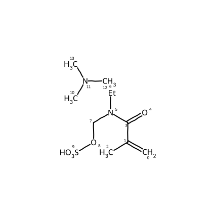 C=C(C)C(=O)N(CC)COS(=O)(=O)O.CN(C)C